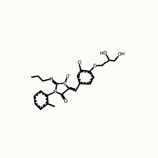 CCC/N=C1\N(c2ccccc2C)C(=O)/C(=C/c2ccc(OCC(O)CO)c(Cl)c2)[S+]1[O-]